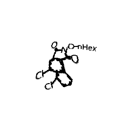 CCCCCCON1C(=O)c2cc(Cl)c3c(Cl)cccc3c2C1=O